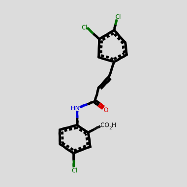 O=C(C=Cc1ccc(Cl)c(Cl)c1)Nc1ccc(Cl)cc1C(=O)O